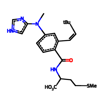 CSCCC(NC(=O)c1ccc(N(C)c2c[nH]cn2)cc1/C=C\C(C)(C)C)C(=O)O